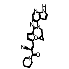 N#C/C(=C\c1ccc(-c2nc3cnc4[nH]ccc4c3n2CC2CC2)o1)C(=O)N1CCCCC1